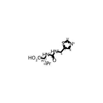 CC(C)[C@@H](NC(=O)NCc1cncs1)C(=O)O